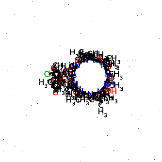 C/C=C/C[C@@H](C)[C@@H](O)[C@H]1C(=O)N[C@@H](CC)C(=O)N(C)CC(=O)N(C)[C@@H](CC(C)C)C(=O)N[C@@H](C(C)C)C(=O)N(C)[C@@H](CC(C)C)C(=O)N[C@@H](C)C(=O)N[C@H](C)C(=O)N(C)[C@@H](CC(C)C)C(=O)N(C)[C@@H](CC(C)C)C(=O)N(C)[C@@H](C(C)C)C(=O)N1C.COC1=CC(=O)C[C@@H](C)[C@]12Oc1c(Cl)c(OC)cc(OC)c1C2=O